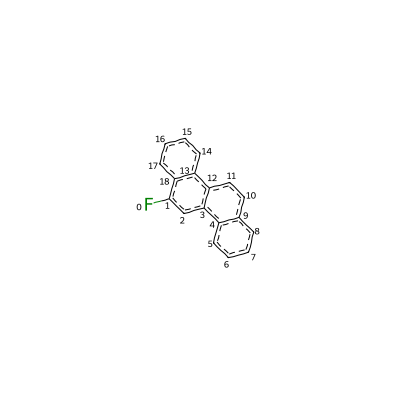 Fc1cc2c3ccccc3ccc2c2ccccc12